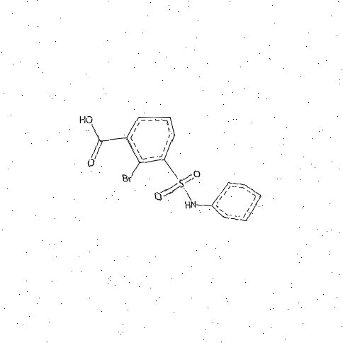 O=C(O)c1cccc(S(=O)(=O)Nc2ccccc2)c1Br